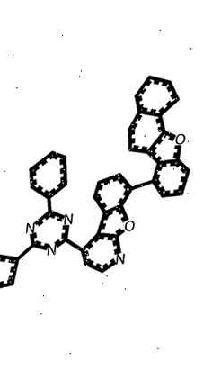 c1ccc(-c2nc(-c3ccccc3)nc(-c3ccnc4oc5c(-c6cccc7oc8c9ccccc9ccc8c67)cccc5c34)n2)cc1